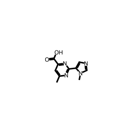 Cc1cc(C(=O)O)nc(-c2cncn2C)n1